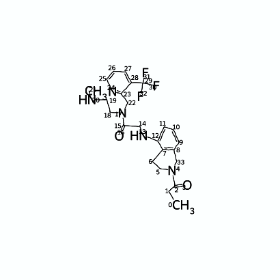 CCC(=O)N1CCc2c(cccc2NCC(=O)N(CCNC)Cc2ncccc2C(F)(F)F)C1